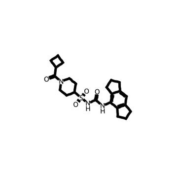 O=C(Nc1c2c(cc3c1CCC3)CCC2)NS(=O)(=O)C1CCN(C(=O)C2CCC2)CC1